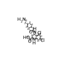 NCCc1ccc(CC(=O)NC2CC(C(=O)O)Nc3cc(Cl)cc(Cl)c32)cc1